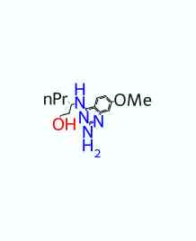 CCC[C@@H](CCO)Nc1nc(N)nc2cc(OC)ccc12